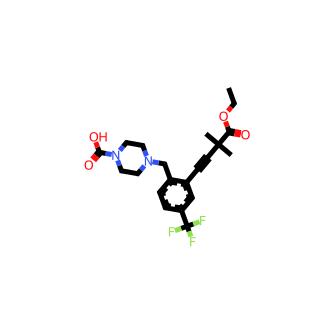 CCOC(=O)C(C)(C)C#Cc1cc(C(F)(F)F)ccc1CN1CCN(C(=O)O)CC1